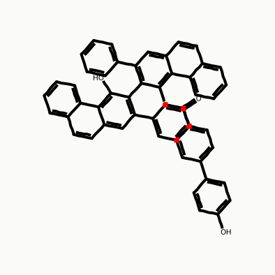 O=C(Oc1c(-c2c(-c3ccccc3)cc3ccc4ccccc4c3c2O)c(-c2ccccc2)cc2ccc3ccccc3c12)c1ccc(-c2ccc(O)cc2)cc1